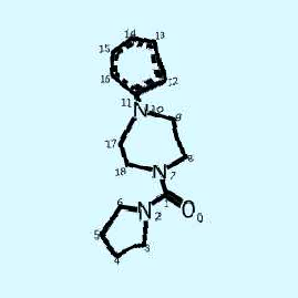 O=C(N1CCCC1)N1CCN(c2cc[c]cc2)CC1